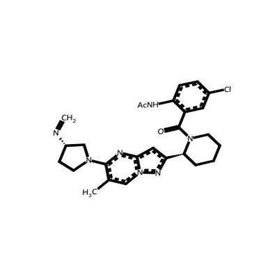 C=N[C@H]1CCN(c2nc3cc([C@@H]4CCCCN4C(=O)c4cc(Cl)ccc4NC(C)=O)nn3cc2C)C1